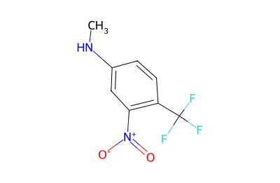 CNc1ccc(C(F)(F)F)c([N+](=O)[O-])c1